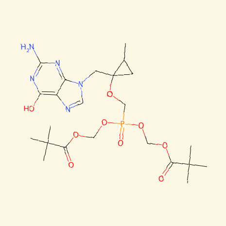 CC1CC1(Cn1cnc2c(O)nc(N)nc21)OCP(=O)(OCOC(=O)C(C)(C)C)OCOC(=O)C(C)(C)C